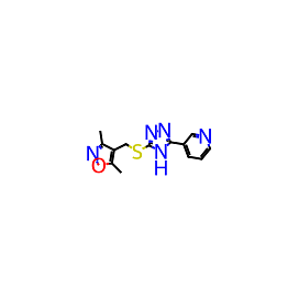 Cc1noc(C)c1CSc1nnc(-c2cccnc2)[nH]1